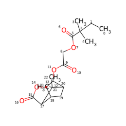 CCC(C)(C)C(=O)OCC(=O)OC1C2OC(=O)C3C2CC1C3(C)C